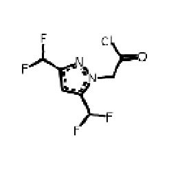 O=C(Cl)Cn1nc(C(F)F)cc1C(F)F